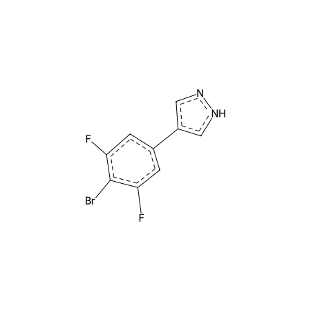 Fc1cc(-c2cn[nH]c2)cc(F)c1Br